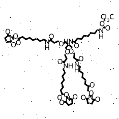 O=C(CCCCCCNC(=O)CCOCC(COCCC(=O)NCCCCCCCC(=O)ON1C(=O)CCC1=O)(COCCC(=O)NCCCCCCCC(=O)ON1C(=O)CCC1=O)NC(=O)CCCCCCCNC(=O)OCC(Cl)(Cl)Cl)CON1C(=O)CCC1=O